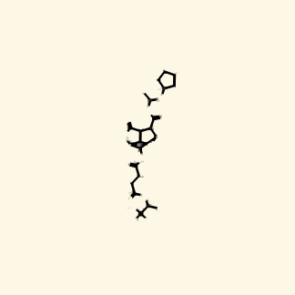 CC(OC(=O)C1C2OC3C(OC(=O)C31)C2OC(=O)CCC(=O)OC(C)C(F)(F)S(=O)(=O)O)OC1CCCC1